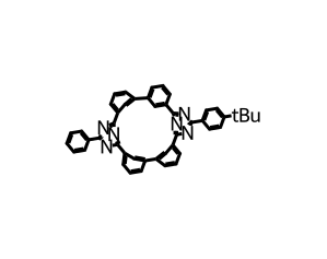 CC(C)(C)c1ccc(-c2nc3nc(n2)c2cccc(c2)c2cccc(c2)c2nc(-c4ccccc4)nc(n2)c2cccc(c2)c2cccc3c2)cc1